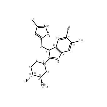 Cc1cc(Cn2c(N3CC[C@@H](F)[C@H](N)C3)nc3cc(F)c(F)cc32)on1